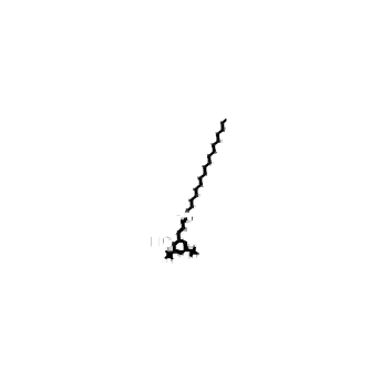 CCCCCCCCCCCCCCCCCCOC(=O)C=Cc1cc(C(C)(C)C)cc(C(C)(C)C)c1O